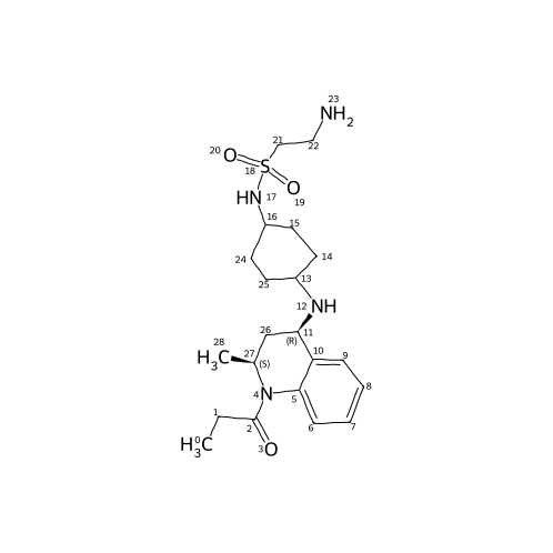 CCC(=O)N1c2ccccc2[C@H](NC2CCC(NS(=O)(=O)CCN)CC2)C[C@@H]1C